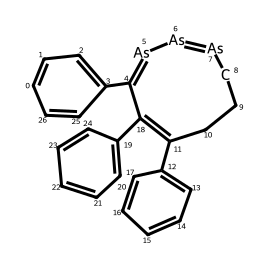 c1ccc(C2=[As][As]=[As]CCCC(c3ccccc3)=C2c2ccccc2)cc1